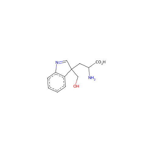 NC(CC1(CO)C=Nc2ccccc21)C(=O)O